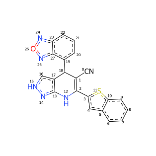 N#CC1=C(c2cc3ccccc3s2)Nc2n[nH]cc2C1c1cccc2nonc12